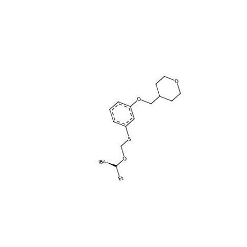 CCC(OCSc1cccc(OCC2CCOCC2)c1)[C@H](C)CC